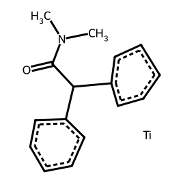 CN(C)C(=O)C(c1ccccc1)c1ccccc1.[Ti]